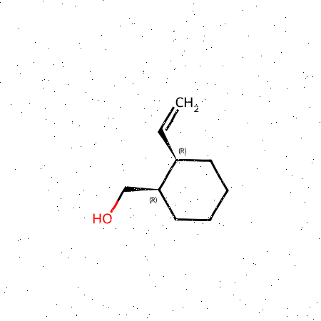 C=C[C@H]1CCCC[C@H]1CO